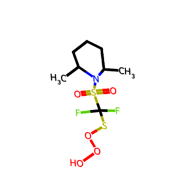 CC1CCCC(C)N1S(=O)(=O)C(F)(F)SOOO